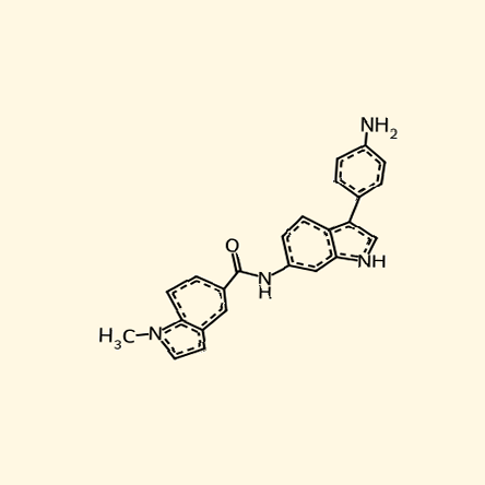 Cn1ccc2cc(C(=O)Nc3ccc4c(-c5ccc(N)cc5)c[nH]c4c3)ccc21